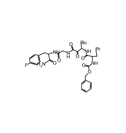 CCC(C)C(NC(=O)C(CC(C)C)NC(=O)OCc1ccccc1)C(=O)C(=O)NCC(=O)NC(Cc1ccc(F)cc1)C(N)=O